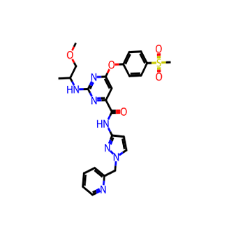 COCC(C)Nc1nc(Oc2ccc(S(C)(=O)=O)cc2)cc(C(=O)Nc2ccn(Cc3ccccn3)n2)n1